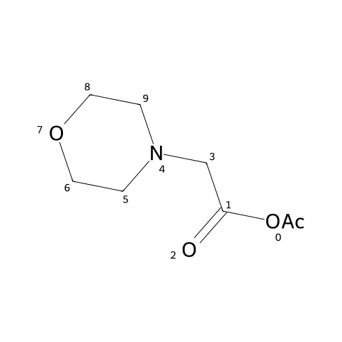 CC(=O)OC(=O)CN1CCOCC1